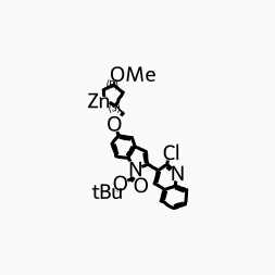 CO[C@H]1[CH2][Zn][C@H](COc2ccc3c(c2)cc(-c2cc4ccccc4nc2Cl)n3C(=O)OC(C)(C)C)C1